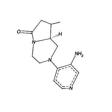 CC1CC(=O)N2CCN(c3ccncc3N)C[C@H]12